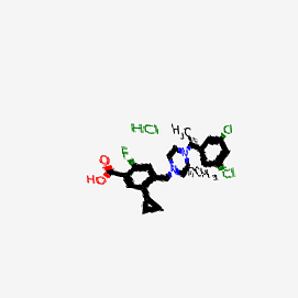 C[C@@H]1CN(Cc2cc(F)c(C(=O)O)cc2C2CC2)CCN1[C@@H](C)c1cc(Cl)cc(Cl)c1.Cl